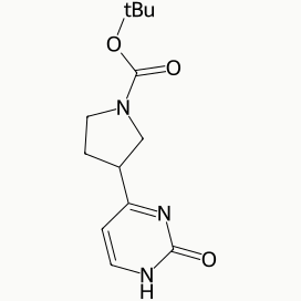 CC(C)(C)OC(=O)N1CCC(c2cc[nH]c(=O)n2)C1